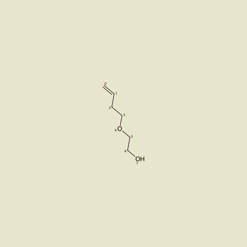 C=CCCOCCO